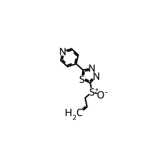 C=CC[S+]([O-])c1nnc(-c2ccncc2)s1